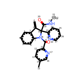 C=C1c2ccccc2N(C(=O)c2ccc(C)cn2)C1(C(=O)NC(C)(C)C)c1ccccn1